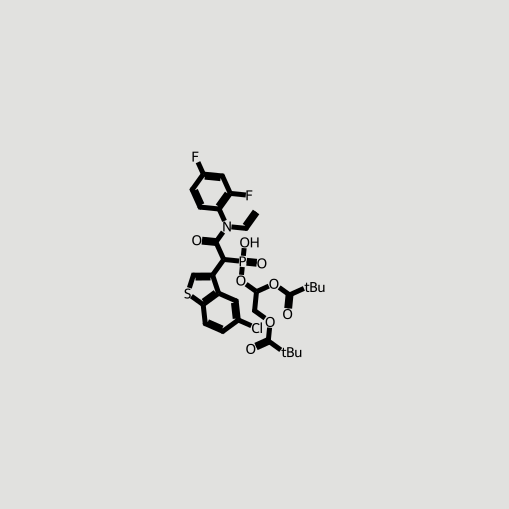 C=CN(C(=O)C(c1csc2ccc(Cl)cc12)P(=O)(O)OC(COC(=O)C(C)(C)C)OC(=O)C(C)(C)C)c1ccc(F)cc1F